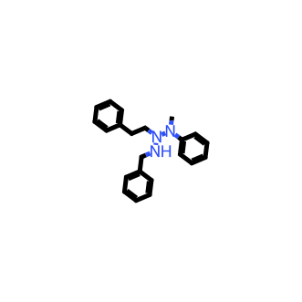 CN(c1ccccc1)N(CCc1ccccc1)NCc1ccccc1